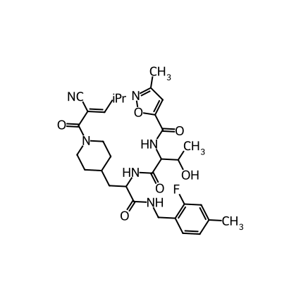 Cc1ccc(CNC(=O)C(CC2CCN(C(=O)C(C#N)=CC(C)C)CC2)NC(=O)C(NC(=O)c2cc(C)no2)C(C)O)c(F)c1